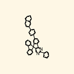 c1ccc(-c2ncc3c(n2)-c2ccc(-c4ccc(-c5ccc6ccccc6c5)cc4)cc2C32c3ccccc3-c3ccccc32)cc1